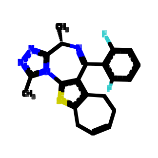 Cc1nnc2n1-c1sc3c(c1C(c1c(F)cccc1F)=N[C@H]2C)CCC=CC3